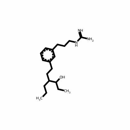 CCCC(CCc1cccc(CCCNC(=N)N)c1)C(O)CC